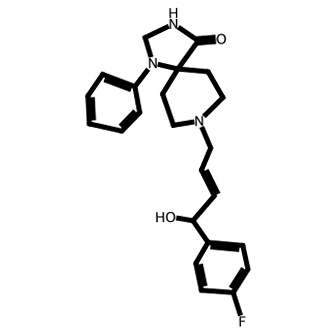 O=C1NCN(c2ccccc2)C12CCN(CC=CC(O)c1ccc(F)cc1)CC2